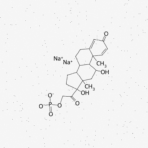 CC12C=CC(=O)C=C1CCC1C2C(O)CC2(C)C1CCC2(O)C(=O)COP(=O)([O-])[O-].[Na+].[Na+]